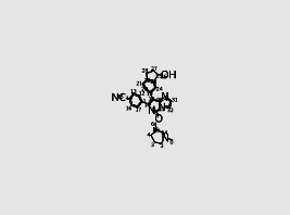 CN1CCC[C@@H](COc2nc(-c3ccc(C#N)cc3)c(-c3ccc4c(c3)C(O)CC4)c3nccn23)C1